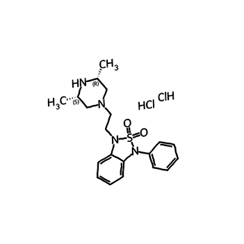 C[C@@H]1CN(CCN2c3ccccc3N(c3ccccc3)S2(=O)=O)C[C@H](C)N1.Cl.Cl